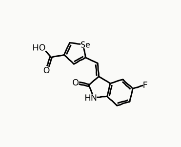 O=C1Nc2ccc(F)cc2C1=Cc1cc(C(=O)O)c[se]1